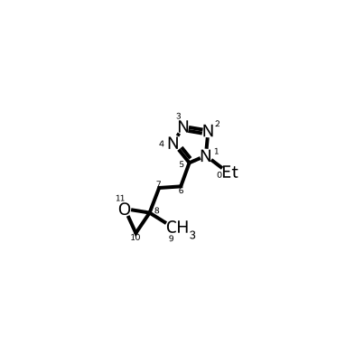 CCn1nnnc1CCC1(C)CO1